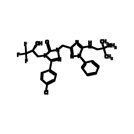 CC(C)(N)CNc1nc(Cn2nc(-c3ccc(Cl)cc3)n(C[C@H](O)C(F)(F)F)c2=O)nn1-c1ccccc1